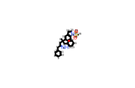 CC(CC(=N)Cc1ccccc1)(Cc1ccccc1)c1ccc2c(ccn2S(C)(=O)=O)c1